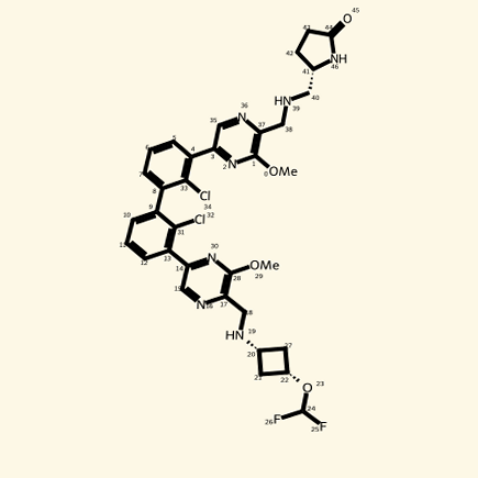 COc1nc(-c2cccc(-c3cccc(-c4cnc(CN[C@H]5C[C@@H](OC(F)F)C5)c(OC)n4)c3Cl)c2Cl)cnc1CNC[C@@H]1CCC(=O)N1